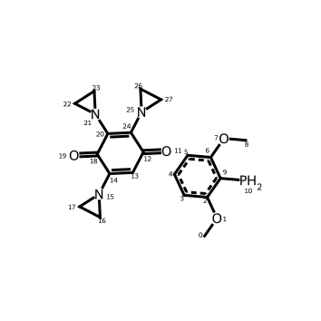 COc1cccc(OC)c1P.O=C1C=C(N2CC2)C(=O)C(N2CC2)=C1N1CC1